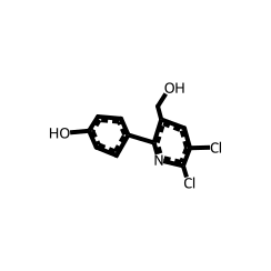 OCc1cc(Cl)c(Cl)nc1-c1ccc(O)cc1